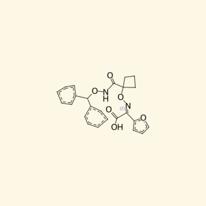 O=C(O)/C(=N\OC1(C(=O)NOC(c2ccccc2)c2ccccc2)CCC1)c1ccco1